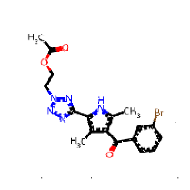 CC(=O)OCCn1nnc(-c2[nH]c(C)c(C(=O)c3cccc(Br)c3)c2C)n1